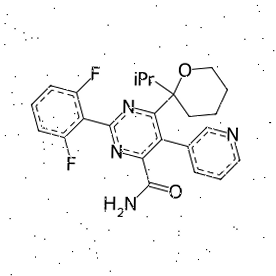 CC(C)C1(c2nc(-c3c(F)cccc3F)nc(C(N)=O)c2-c2cccnc2)CCCCO1